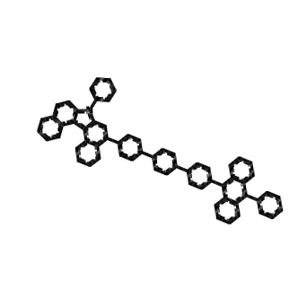 c1ccc(-c2c3ccccc3c(-c3ccc(-c4ccc(-c5ccc(-c6cc7c(c8ccccc68)c6c8ccccc8ccc6n7-c6ccccc6)cc5)cc4)cc3)c3ccccc23)cc1